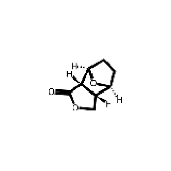 O=C1OC[C@@H]2[C@H]1[C@H]1CC[C@@H]2O1